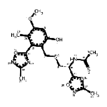 COc1cc(O)c(CSC[C@H](NC(C)=S)c2nc(C)no2)c(-c2nc(C)no2)c1C